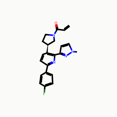 C=CC(=O)N1CC[C@H](c2ccc(-c3ccc(F)cc3)nc2-c2ccn(C)n2)C1